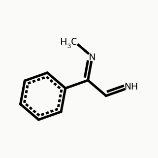 C/N=C(/C=N)c1ccccc1